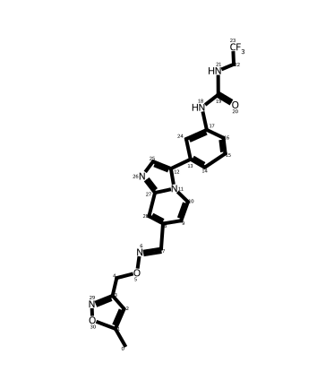 Cc1cc(CON=Cc2ccn3c(-c4cccc(NC(=O)NCC(F)(F)F)c4)cnc3c2)no1